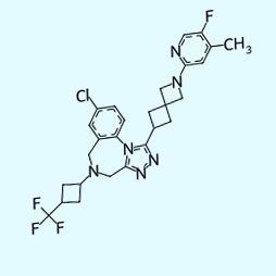 Cc1cc(N2CC3(CC(c4nnc5n4-c4ccc(Cl)cc4CN(C4CC(C(F)(F)F)C4)C5)C3)C2)ncc1F